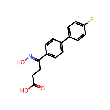 O=C(O)CC/C(=N\O)c1ccc(-c2ccc(F)cc2)cc1